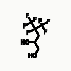 OCC(O)CC(F)(C(F)(F)F)C(F)(F)F